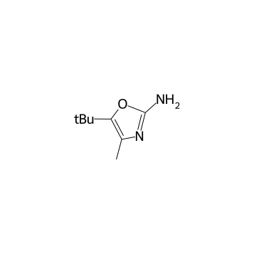 Cc1nc(N)oc1C(C)(C)C